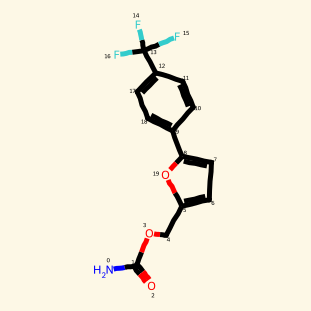 NC(=O)OCc1ccc(-c2ccc(C(F)(F)F)cc2)o1